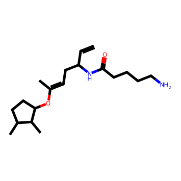 C=CC(C/C=C(\C)OC1CCC(C)C1C)NC(=O)CCCCN